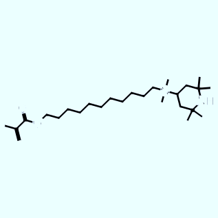 C=C(C)C(=O)OCCCCCCCCCCC[N+](C)(C)C1CC(C)(C)NC(C)(C)C1